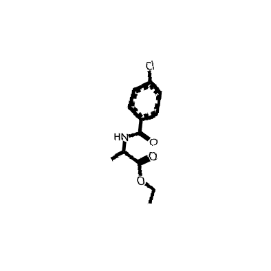 CCOC(=O)C(C)NC(=O)c1ccc(Cl)cc1